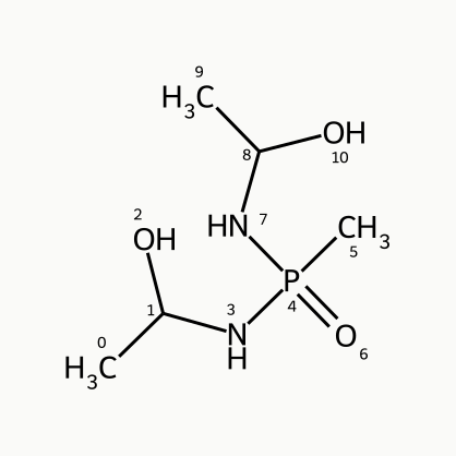 CC(O)NP(C)(=O)NC(C)O